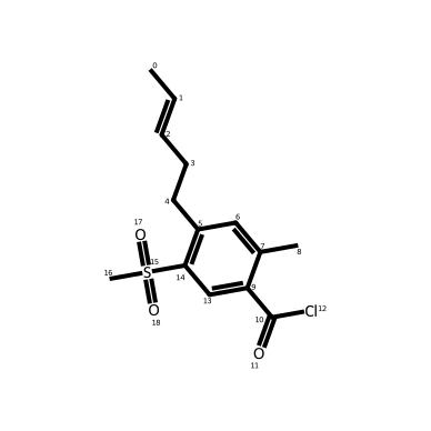 CC=CCCc1cc(C)c(C(=O)Cl)cc1S(C)(=O)=O